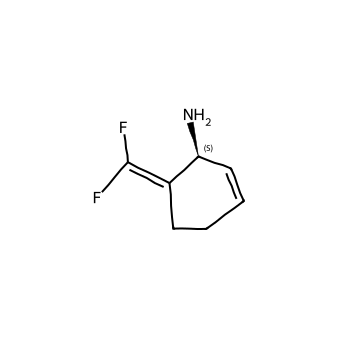 N[C@H]1C=CCCC1=C(F)F